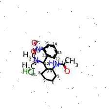 CC(=O)NC1CCCCC1C(c1ccccc1[N+](=O)[O-])N(C)C.Cl